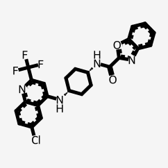 O=C(N[C@H]1CC[C@@H](Nc2cc(C(F)(F)F)nc3ccc(Cl)cc23)CC1)c1nc2ccccc2o1